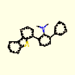 CN(C)c1c(-c2ccccc2)cccc1-c1cccc2c1sc1ccccc12